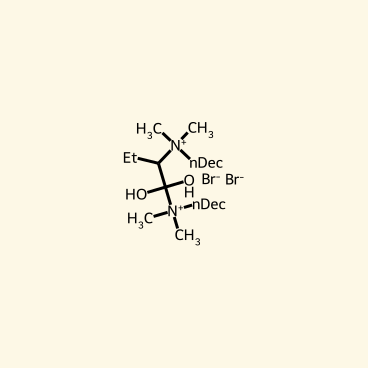 CCCCCCCCCC[N+](C)(C)C(CC)C(O)(O)[N+](C)(C)CCCCCCCCCC.[Br-].[Br-]